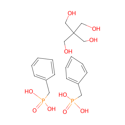 O=P(O)(O)Cc1ccccc1.O=P(O)(O)Cc1ccccc1.OCC(CO)(CO)CO